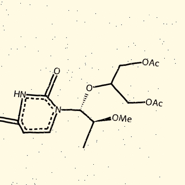 CO[C@@H](C)[C@@H](OC(COC(C)=O)COC(C)=O)n1ccc(=O)[nH]c1=O